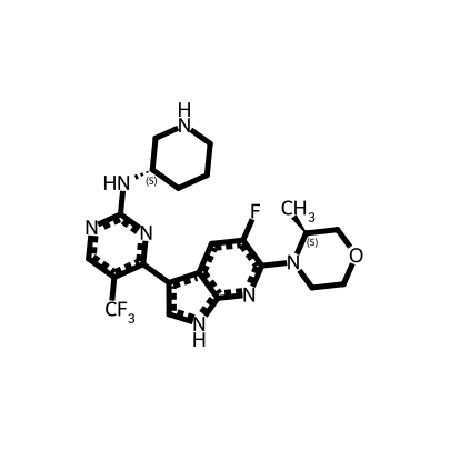 C[C@H]1COCCN1c1nc2[nH]cc(-c3nc(N[C@H]4CCCNC4)ncc3C(F)(F)F)c2cc1F